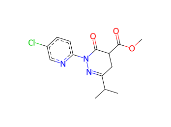 COC(=O)C1CC(C(C)C)=NN(c2ccc(Cl)cn2)C1=O